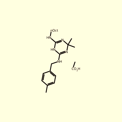 CC(=O)O.CCCCCCCCNC1=NC(C)(C)N=C(NCc2ccc(C)cc2)N1